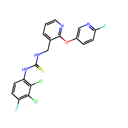 Fc1ccc(Oc2ncccc2CNC(=S)Nc2ccc(F)c(Cl)c2Cl)cn1